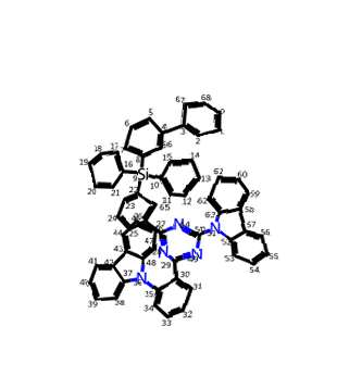 c1ccc(-c2cccc([Si](c3ccccc3)(c3ccccc3)c3cccc(-c4nc(-c5ccccc5-n5c6ccccc6c6ccccc65)nc(-n5c6ccccc6c6ccccc65)n4)c3)c2)cc1